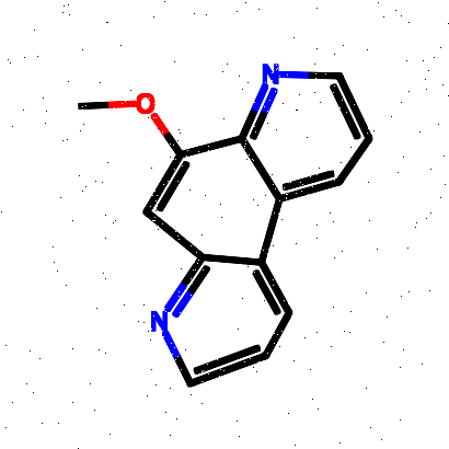 COc1cc2ncccc2c2cccnc12